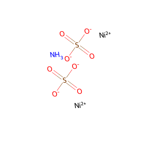 N.O=S(=O)([O-])[O-].O=S(=O)([O-])[O-].[Ni+2].[Ni+2]